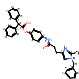 Cc1nc(CCC(=O)Nc2ccc(OC(=O)C(c3ccccc3)c3ccccc3)cc2)cn1Cc1ccccc1